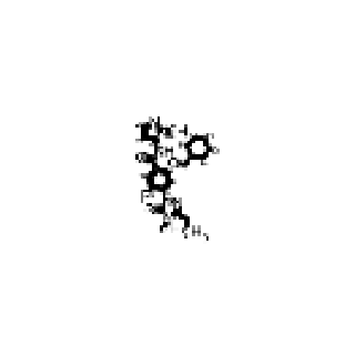 CCc1nn(-c2cc(OCC3CCCCC3)c(C(=O)Nc3ccnn3C)cc2F)c(=O)n1C